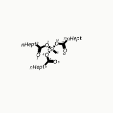 CCCCCCCC(=O)O[Si](C)(OC(=O)CCCCCCC)OC(=O)CCCCCCC